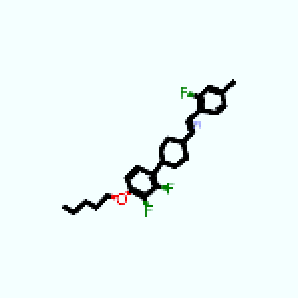 CCCCCOc1ccc(C2CCC(/C=C/c3ccc(C)cc3F)CC2)c(F)c1F